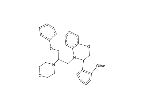 COc1ccccc1C1COc2ccccc2N1CC(COc1ccccc1)N1CCOCC1